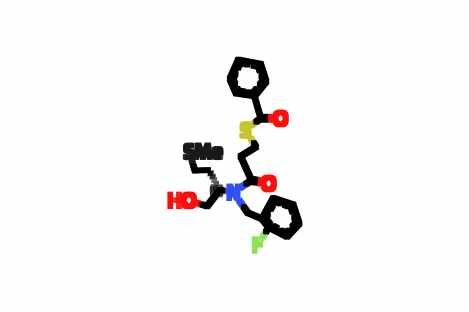 CSCC[C@@H](CO)N(Cc1ccccc1F)C(=O)CCSC(=O)c1ccccc1